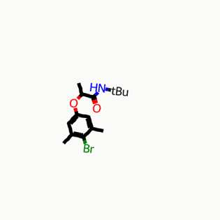 Cc1cc(OC(C)C(=O)NC(C)(C)C)cc(C)c1Br